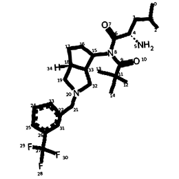 CC(C)C[C@H](N)C(=O)N(C(=O)C(C)(C)C)C1CC[C@H]2CN(Cc3cccc(C(F)(F)F)c3)CC12